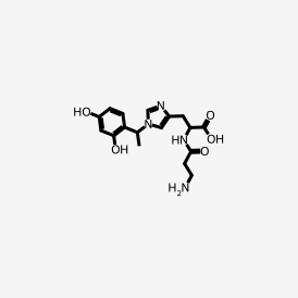 CC(c1ccc(O)cc1O)n1cnc(CC(NC(=O)CCN)C(=O)O)c1